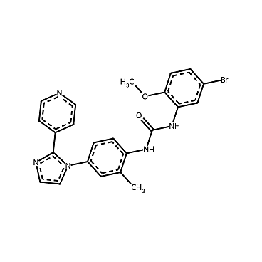 COc1ccc(Br)cc1NC(=O)Nc1ccc(-n2ccnc2-c2ccncc2)cc1C